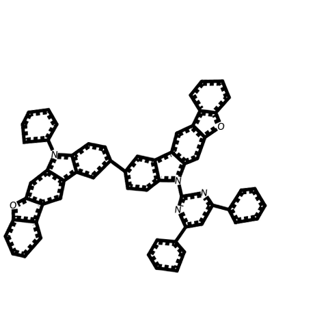 c1ccc(-c2cc(-c3ccccc3)nc(-n3c4ccc(-c5ccc6c(c5)c5cc7c(cc5n6-c5ccccc5)oc5ccccc57)cc4c4cc5c(cc43)oc3ccccc35)n2)cc1